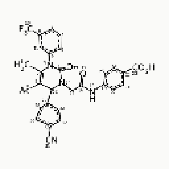 CC(=O)C1=C(C)N(c2cccc(C(F)(F)F)c2)C(=O)N(CC(=O)Nc2ccc(C(=O)O)cc2)C1c1ccc(C#N)cc1